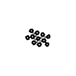 c1ccc(-c2cc3c4c(c2)N2c5ccccc5B5c6ccccc6N6c7cc(-c8ccccc8)cc8c7B(c7ccccc7N8c7ccccc7)c7cc(c2c5c76)B4c2ccccc2N3c2ccccc2)cc1